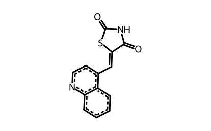 O=C1NC(=O)/C(=C/c2ccnc3ccccc23)S1